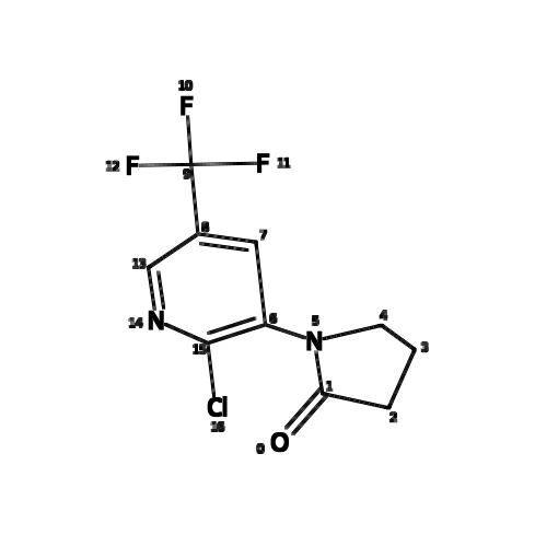 O=C1CCCN1c1cc(C(F)(F)F)cnc1Cl